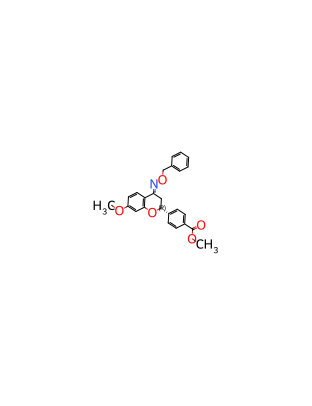 COC(=O)c1ccc([C@H]2CC(=NOCc3ccccc3)c3ccc(OC)cc3O2)cc1